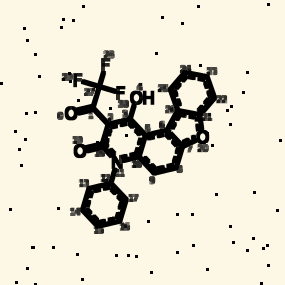 O=C(c1c(O)c2c3c(ccc2n(-c2ccccc2)c1=O)oc1ccccc13)C(F)(F)F